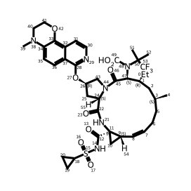 CC[C@@H]1C[C@@H](C)CCC=C[C@@H]2C[C@@]2(C(=O)NS(=O)(=O)C2CC2)NC(=O)[C@@H]2C[C@@H](Oc3nccc4c5c(ccc34)N(C)CCO5)CN2C(=O)[C@H]1N(C(=O)O)C(C)(C)C(F)(F)F